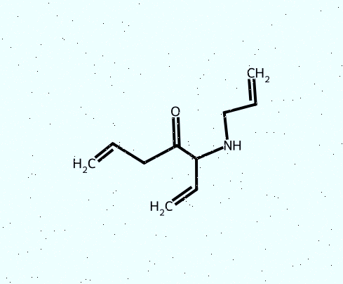 C=CCN[C](C=C)C(=O)CC=C